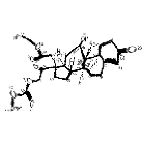 CCCOC(=O)O[C@]1(C(=O)COC(=O)OC(C)C)CC[C@H]2[C@@H]3CCC4=CC(=O)C=C[C@]4(C)[C@H]3C(O)C[C@@]21C